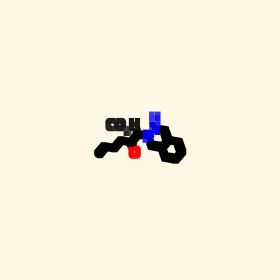 C=CCCC(=O)C(C(=O)O)N1C=c2ccccc2=CN1